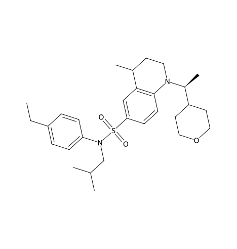 CCc1ccc(N(CC(C)C)S(=O)(=O)c2ccc3c(c2)C(C)CCN3[C@@H](C)C2CCOCC2)cc1